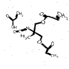 C=CC(=O)O.C=CC(=O)OCC(C)(COC(=O)C=C)N=C=O